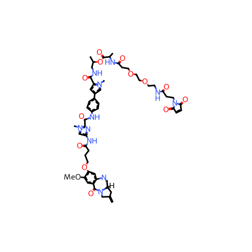 C=C1C[C@H]2C=Nc3cc(OCCCC(=O)Nc4cn(C)c(C(=O)Nc5ccc(-c6cc(C(=O)NCC(C)OC(=O)C(C)NC(=O)CCOCCOCCNC(=O)CCN7C(=O)C=CC7=O)n(C)c6)cc5)n4)c(OC)cc3C(=O)N2C1